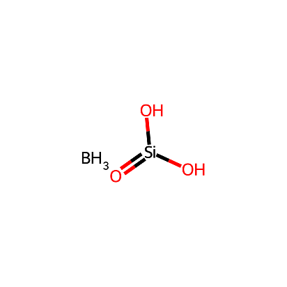 B.O=[Si](O)O